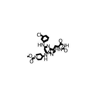 COC(=O)N1CCC(Nc2cc(Nc3cccc(Cl)c3)nc3c(/C=C4\NC(=O)NC4=O)cnn23)CC1